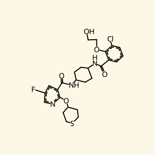 O=C(NC1CCC(NC(=O)c2cccc(Cl)c2OCCO)CC1)c1cc(F)cnc1OC1CCSCC1